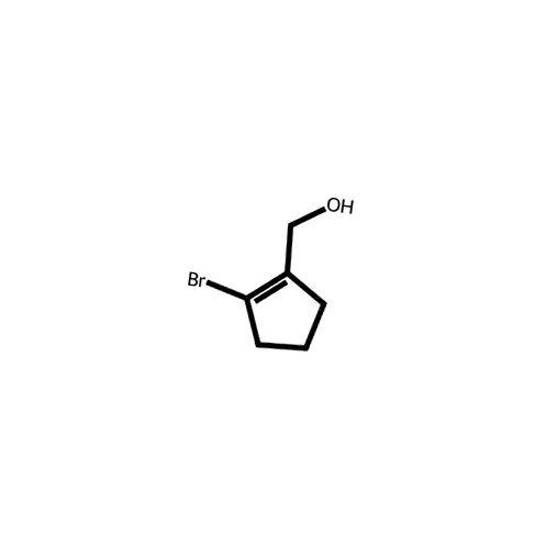 OCC1=C(Br)CCC1